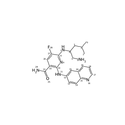 CC(C)CC(CN)Nc1nc(Nc2ccc3ncccc3c2)c(C(N)=O)cc1F